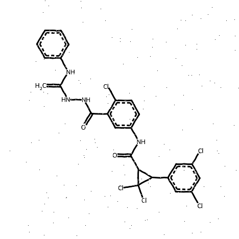 C=C(NNC(=O)c1cc(NC(=O)C2C(c3cc(Cl)cc(Cl)c3)C2(Cl)Cl)ccc1Cl)Nc1ccccc1